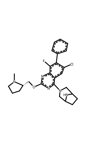 CN1CCC[C@H]1COc1nc(N2CC3CCC(C2)N3)c2cc(Cl)c(-c3ccccc3)c(F)c2n1